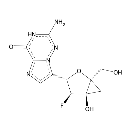 Nc1nn2c([C@@H]3O[C@@]4(CO)C[C@]4(O)[C@H]3F)cnc2c(=O)[nH]1